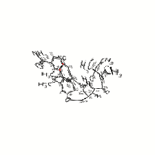 COc1cc2c(cc1-c1cncc(C(N)=O)c1C)C13C(CO2)[C@H]1C(C(=O)N(C)C(C)(C)C)=NN3c1cc(Cl)cc(Cl)c1